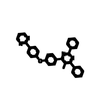 Cc1c(-c2c#cc(Oc3ccc(-c4ncccn4)cc3)cc2)nc(-c2ccccc2)nc1-c1ccccc1